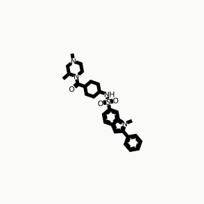 CC1CN(C)CCN1C(=O)C1CCC(NS(=O)(=O)c2ccc3cc(-c4ccccc4)n(C)c3c2)CC1